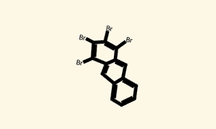 Brc1c(Br)c(Br)c2cc3ccccc3cc2c1Br